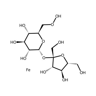 OC[C@H]1O[C@@](CO)(O[C@H]2O[C@H](COO)[C@@H](O)[C@H](O)[C@H]2O)[C@@H](O)[C@@H]1O.[Fe]